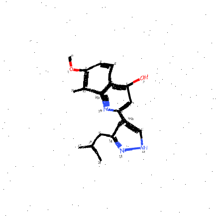 COc1ccc2c(O)cc(-c3c[nH]nc3CC(C)C)nc2c1C